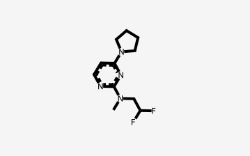 CN(CC(F)F)c1nccc(N2CCCC2)n1